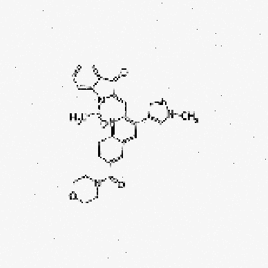 CC(=O)N1/C(=C\c2nc3ccc(C(=O)N4CCOCC4)cc3cc2-c2cnn(C)c2)C(=O)c2ccccc21